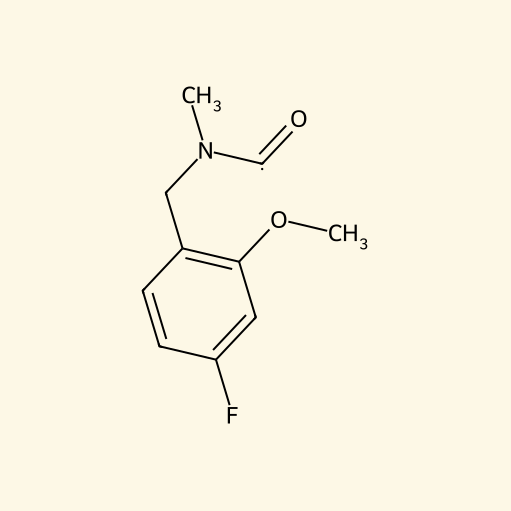 COc1cc(F)ccc1CN(C)[C]=O